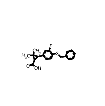 CC1(C)C(C(=O)O)C1c1ccc(SCc2ccccc2)c(F)c1